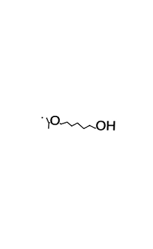 [CH2]C(C)OCCCCCCCO